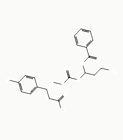 CCCC(OC(=O)NC[C@H](CC(=O)O)c1ccc(Cl)cc1)OC(=O)c1ccccc1